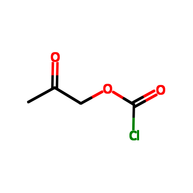 CC(=O)COC(=O)Cl